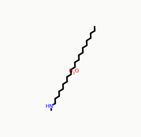 CCCCCCCCCCCCCCCCCCCCCCNC.O